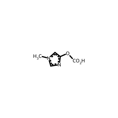 Cn1cnc(OC(=O)O)c1